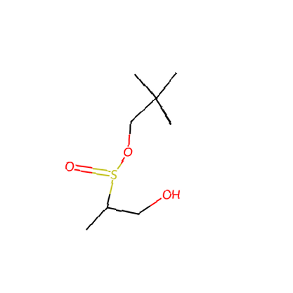 CC(CO)S(=O)OCC(C)(C)C